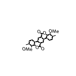 COc1c(C)ccc2c1oc(=O)c1cc3c(cc12)c(=O)oc1c(OC)c(C)ccc13